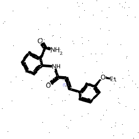 CCOc1cccc(/C=C/C(=O)Nc2ccccc2C(N)=O)c1